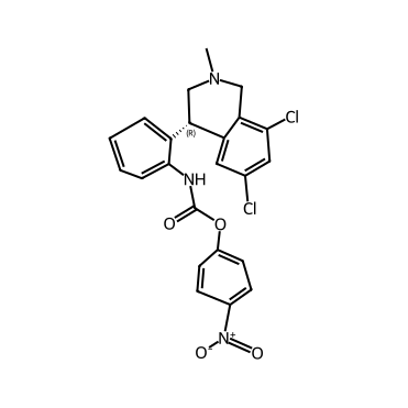 CN1Cc2c(Cl)cc(Cl)cc2[C@H](c2ccccc2NC(=O)Oc2ccc([N+](=O)[O-])cc2)C1